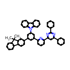 CC1(C)c2ccccc2-c2ccc(-c3cc(-c4cccc(-c5cc(-c6ccccc6)nc(-c6ccccc6)n5)n4)cc(-n4c5ccccc5c5ccccc54)c3)cc21